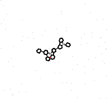 c1ccc(-c2ccc(-n3c4ccccc4c4cc(-c5ccc6c(c5)c5ccccc5n6-c5ccccc5)ccc43)c(-c3ccccc3)c2)cc1